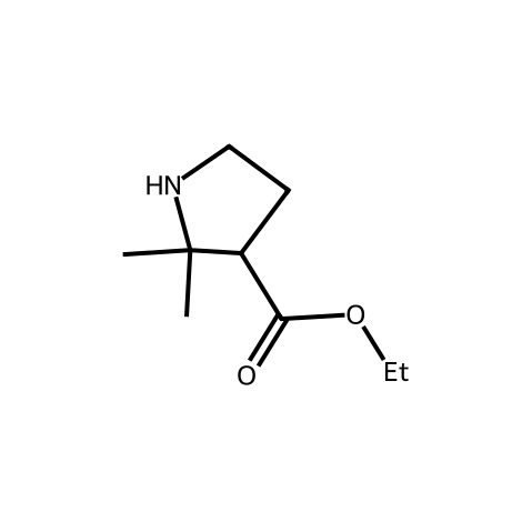 CCOC(=O)C1CCNC1(C)C